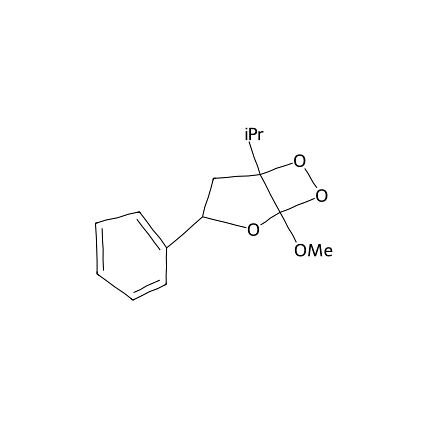 COC12OOC1(C(C)C)CC(c1ccccc1)O2